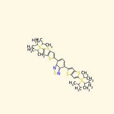 CC(C)S(c1cc2sc(-c3ccc(-c4cc5sc(S(C(C)C)(C(C)C)C(C)C)cc5s4)c4nsnc34)cc2s1)(C(C)C)C(C)C